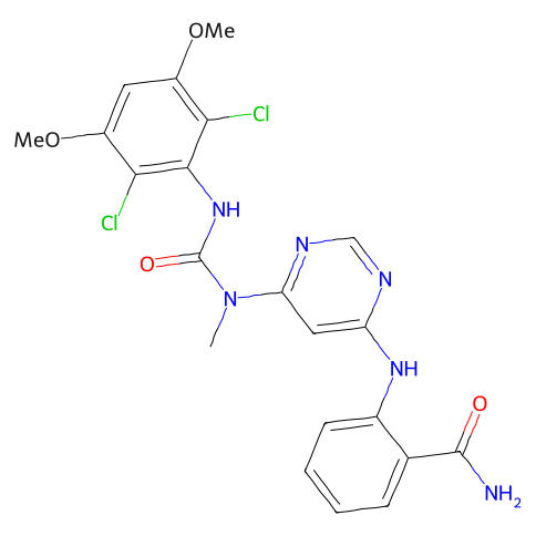 COc1cc(OC)c(Cl)c(NC(=O)N(C)c2cc(Nc3ccccc3C(N)=O)ncn2)c1Cl